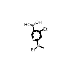 CCc1cc(N(C)CC)ncc1B(O)O